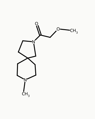 COCC(=O)N1CCC2(CCN(C)CC2)C1